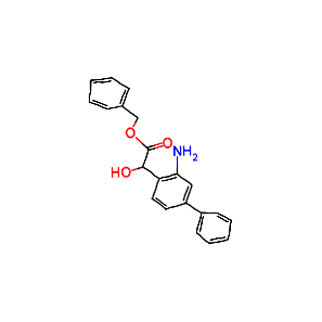 Nc1cc(-c2ccccc2)ccc1C(O)C(=O)OCc1ccccc1